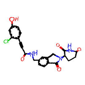 O=C(C#Cc1ccc(O)cc1Cl)NCc1ccc2c(c1)CN(C1CCC(=O)NC1=O)C2=O